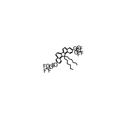 CCCCCCC1(CCCCCC)c2c(ccc3cc(OSOOC(F)(F)F)ccc23)-c2ccc3cc(OS(=O)(=O)C(F)(F)F)ccc3c21